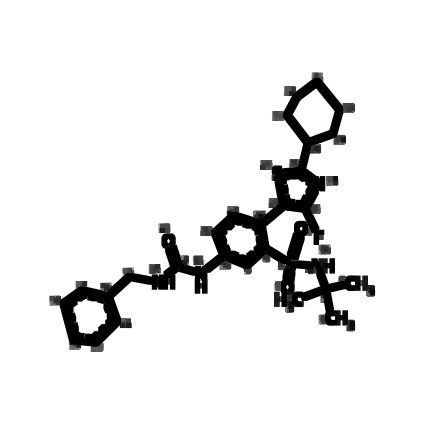 CC(C)(C)NS(=O)(=O)c1cc(NC(=O)NCc2ccccc2)ccc1-c1sc(C2CCCCC2)nc1F